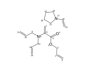 C=CCOC(=O)C(=C)N(CC=C)CC=C.C=CN1CCCC1